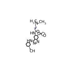 C#Cc1cccc(Nc2ncnc3cc(O[C@H]4CCOC4)c(NC(=O)/C=C/CN(C)CC)cc23)c1